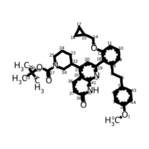 COc1ccc(CCc2cccc(OCC3CC3)c2-c2cc(C3CCCN(C(=O)OC(C)(C)C)C3)c3ccc(=O)[nH]c3n2)cc1